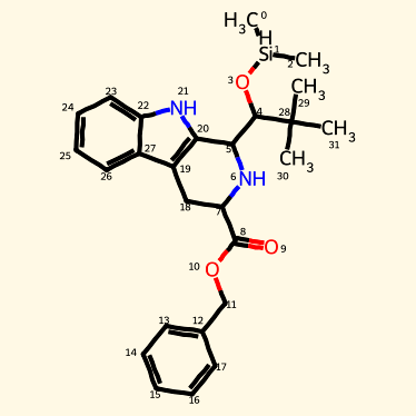 C[SiH](C)OC(C1NC(C(=O)OCc2ccccc2)Cc2c1[nH]c1ccccc21)C(C)(C)C